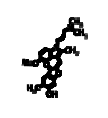 COc1ccc2c(c1)c(C=C1Oc3cc(O)c(C)cc3C1=O)c(C)n2CCCN(C)C